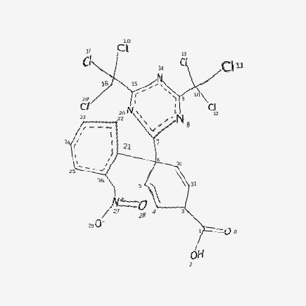 O=C(O)C1C=CC(c2nc(C(Cl)(Cl)Cl)nc(C(Cl)(Cl)Cl)n2)(c2ccccc2[N+](=O)[O-])C=C1